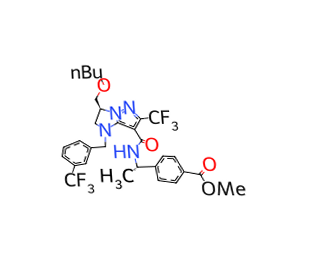 CCCCOC[C@@H]1CN(Cc2cccc(C(F)(F)F)c2)c2c(C(=O)N[C@@H](C)c3ccc(C(=O)OC)cc3)c(C(F)(F)F)nn21